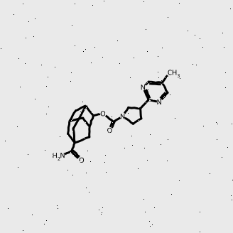 Cc1cnc(C2CCN(C(=O)OC3C4CC5CC3CC(C(N)=O)(C5)C4)C2)nc1